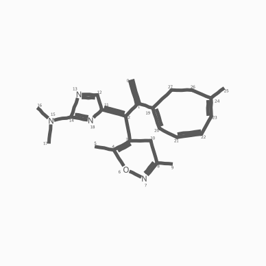 C=C(/C(C1=C(C)ON=C(C)C1)=C1\C=NC(N(C)C)=N1)/C1=C/C=C\C=C(\C)CC1